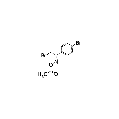 CC(=O)ON=C(CBr)c1ccc(Br)cc1